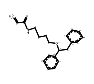 C=CC(=O)NCCCCOC(Cc1ccccc1)c1ccccc1